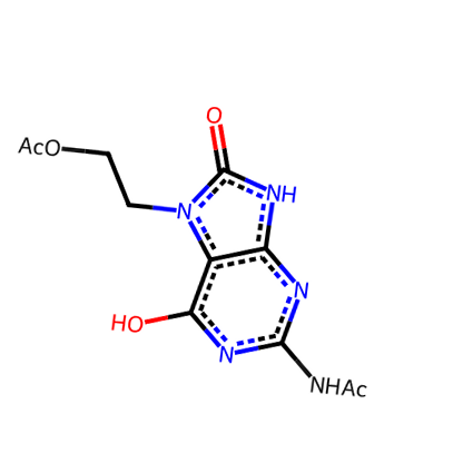 CC(=O)Nc1nc(O)c2c(n1)[nH]c(=O)n2CCOC(C)=O